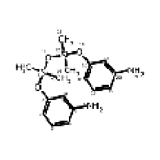 C[Si](C)(Oc1cccc(N)c1)O[Si](C)(C)Oc1cccc(N)c1